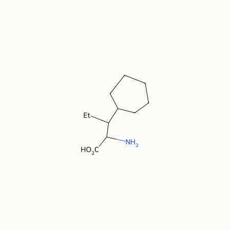 CCC(C1CCCCC1)C(N)C(=O)O